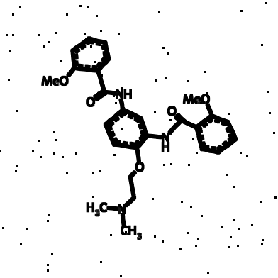 COc1ccccc1C(=O)Nc1ccc(OCCN(C)C)c(NC(=O)c2ccccc2OC)c1